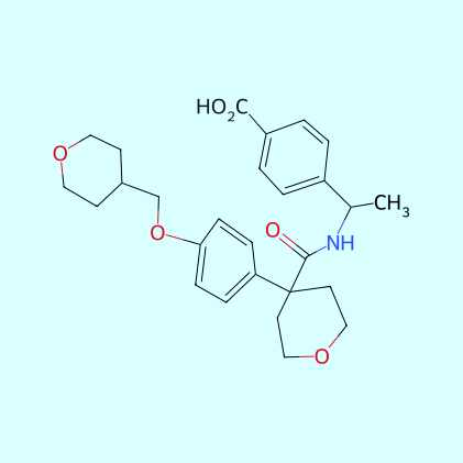 CC(NC(=O)C1(c2ccc(OCC3CCOCC3)cc2)CCOCC1)c1ccc(C(=O)O)cc1